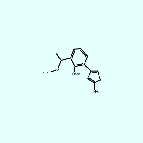 CCCCCOC(C)c1cccc(-c2csc(N)n2)c1OC